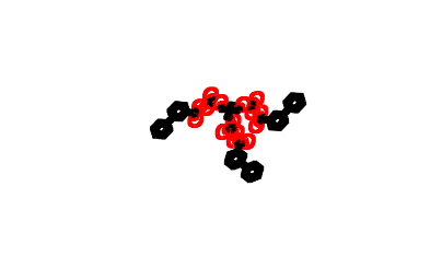 CC(COC(=O)OOC(=O)c1cccc(-c2ccccc2)c1)(COC(=O)OOC(=O)c1cccc(-c2ccccc2)c1)COC(=O)OOC(=O)c1cccc(-c2ccccc2)c1